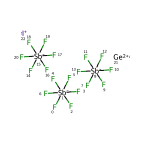 [F][Sb-]([F])([F])([F])([F])[F].[F][Sb-]([F])([F])([F])([F])[F].[F][Sb-]([F])([F])([F])([F])[F].[Ge+2].[I+]